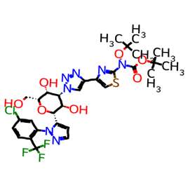 CC(C)(C)OC(=O)N(OC(C)(C)C)c1nc(-c2cn([C@H]3[C@@H](O)[C@@H](CO)O[C@@H](c4ccnn4-c4cc(Cl)ccc4C(F)(F)F)[C@@H]3O)nn2)cs1